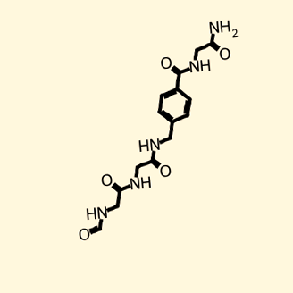 NC(=O)CNC(=O)c1ccc(CNC(=O)CNC(=O)CNC=O)cc1